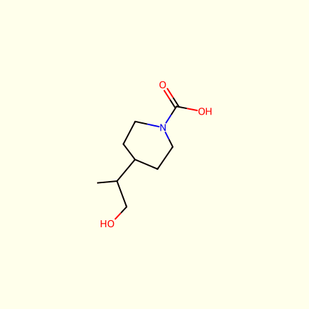 CC(CO)C1CCN(C(=O)O)CC1